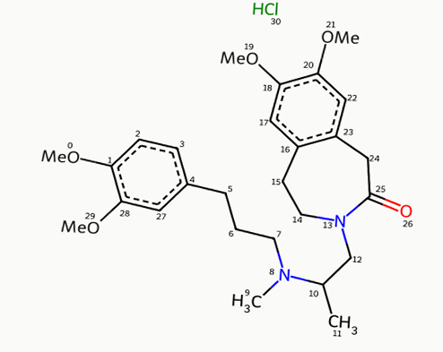 COc1ccc(CCCN(C)C(C)CN2CCc3cc(OC)c(OC)cc3CC2=O)cc1OC.Cl